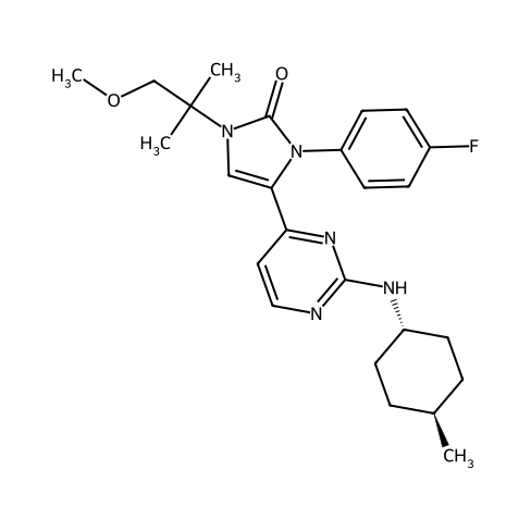 COCC(C)(C)n1cc(-c2ccnc(N[C@H]3CC[C@H](C)CC3)n2)n(-c2ccc(F)cc2)c1=O